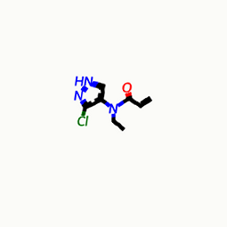 C=CC(=O)N(CC)c1c[nH]nc1Cl